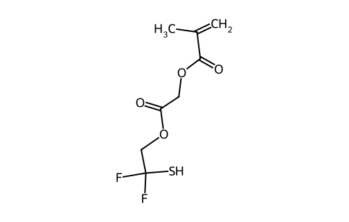 C=C(C)C(=O)OCC(=O)OCC(F)(F)S